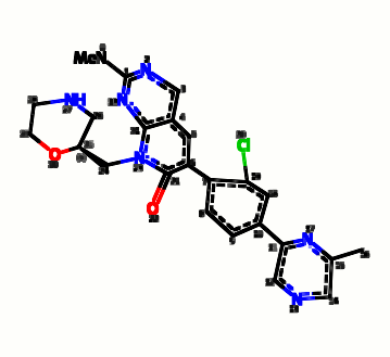 CNc1ncc2cc(-c3ccc(-c4cncc(C)n4)cc3Cl)c(=O)n(C[C@@H]3CNCCO3)c2n1